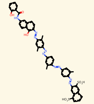 Cc1cc(N=Nc2cc(C)c(N=Nc3ccc4cc(NC(=O)c5ccccc5O)ccc4c3O)cc2C)ccc1N=Nc1ccc(N=Nc2cc3c(S(=O)(=O)O)cccc3cc2S(=O)(=O)O)c(C)c1